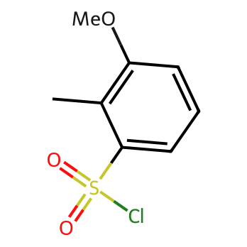 COc1cccc(S(=O)(=O)Cl)c1C